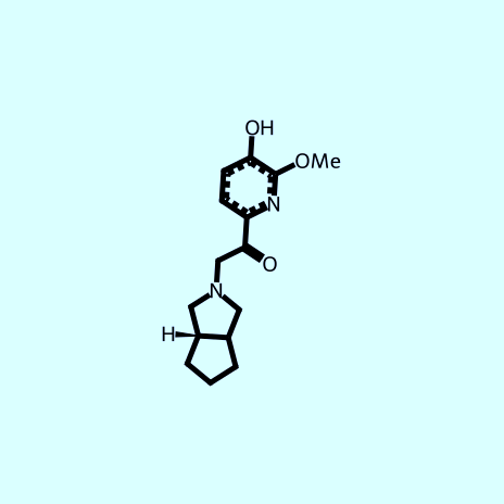 COc1nc(C(=O)CN2CC3CCC[C@@H]3C2)ccc1O